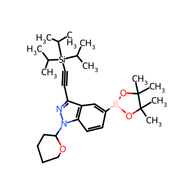 CC(C)[Si](C#Cc1nn(C2CCCCO2)c2ccc(B3OC(C)(C)C(C)(C)O3)cc12)(C(C)C)C(C)C